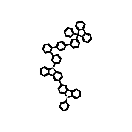 c1ccc(-n2c3ccccc3c3cc(-c4ccc5c(c4)c4ccccc4n5-c4cccc(-c5ccccc5-c5ccc(-c6cccc(C7(c8ccccc8)c8ccccc8-c8ccccc87)c6)cc5)c4)ccc32)cc1